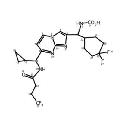 O=C(O)NC(c1cn2ccc(C(NC(=O)CCC(F)(F)F)C3CC3)nc2n1)C1CCC(F)(F)CC1